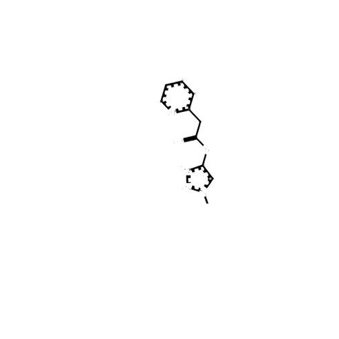 Cn1cc(NC(=O)Cc2ccccn2)nn1